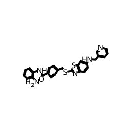 Nc1ccccc1NC(=O)c1ccc(CSc2nc3ccc(NCc4cccnc4)cc3s2)cc1